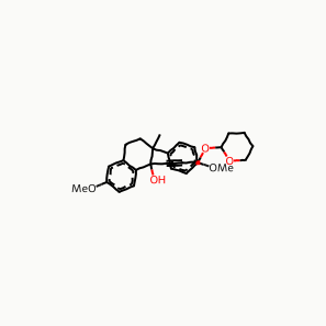 COc1ccc(C2(C)CCc3cc(OC)ccc3C2(O)C#CCOC2CCCCO2)cc1